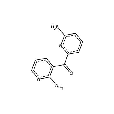 Bc1cccc(C(=O)c2cccnc2N)n1